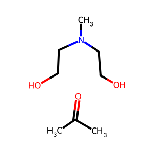 CC(C)=O.CN(CCO)CCO